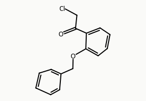 O=C(CCl)c1ccccc1OCc1ccccc1